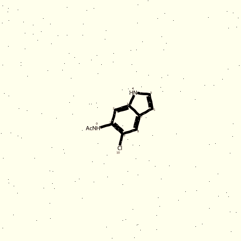 CC(=O)Nc1cc2[nH]c[c]c2cc1Cl